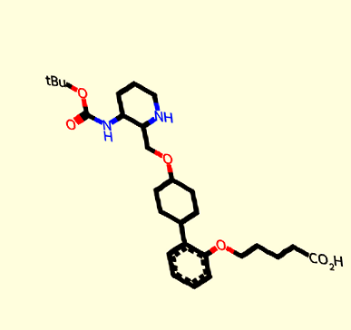 CC(C)(C)OC(=O)NC1CCCNC1COC1CCC(c2ccccc2OCCCCC(=O)O)CC1